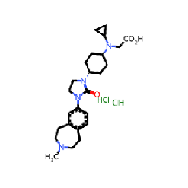 CN1CCc2ccc(N3CCN([C@H]4CC[C@H](N(CC(=O)O)C5CC5)CC4)C3=O)cc2CC1.Cl.Cl